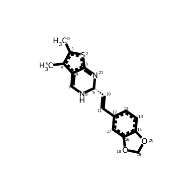 Cc1sc2c(c1C)=CN[C@@H](C=Cc1ccc3c(c1)OCO3)N=2